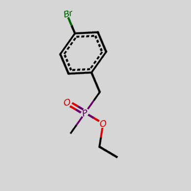 CCOP(C)(=O)Cc1ccc(Br)cc1